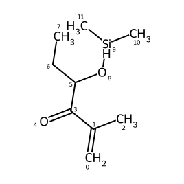 C=C(C)C(=O)C(CC)O[SiH](C)C